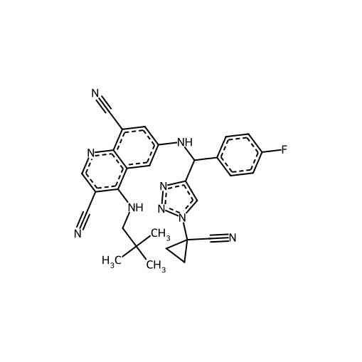 CC(C)(C)CNc1c(C#N)cnc2c(C#N)cc(NC(c3ccc(F)cc3)c3cn(C4(C#N)CC4)nn3)cc12